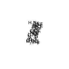 C=CC(=O)N1CCC(N(C)c2nc(OCC3CC(F)CN3C)nc3c(F)c(-c4ccc(F)c5sc(N)nc45)c(C(F)(F)F)cc23)C1